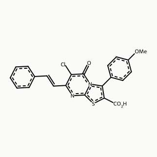 COc1ccc(-c2c(C(=O)O)sc3nc(/C=C/c4ccccc4)c(Cl)c(=O)n23)cc1